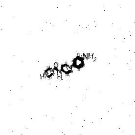 Nc1ccc(N2CCC(NC(=O)N3CCNCC3)CC2)cc1